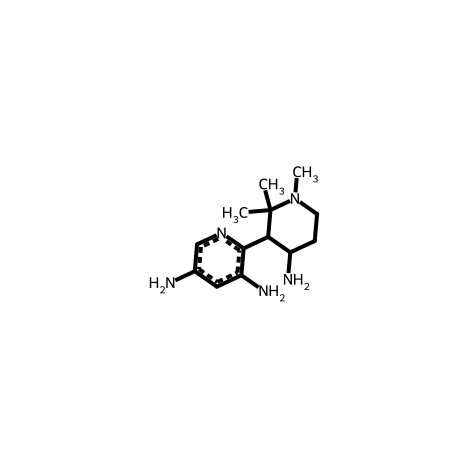 CN1CCC(N)C(c2ncc(N)cc2N)C1(C)C